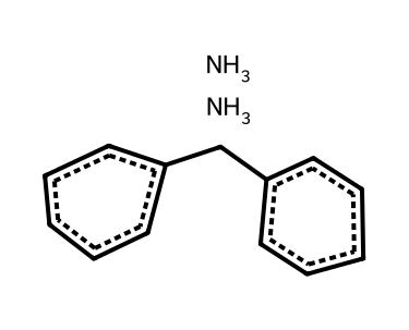 N.N.c1ccc(Cc2ccccc2)cc1